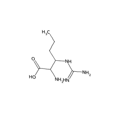 CCCC(NC(=N)N)C(N)C(=O)O